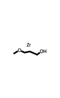 COCCCO.[Zr]